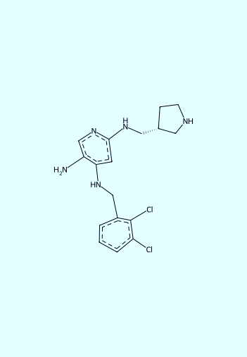 Nc1cnc(NC[C@@H]2CCNC2)cc1NCc1cccc(Cl)c1Cl